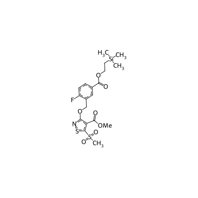 COC(=O)c1c(OCc2cc(C(=O)OCC[Si](C)(C)C)ccc2F)nsc1S(C)(=O)=O